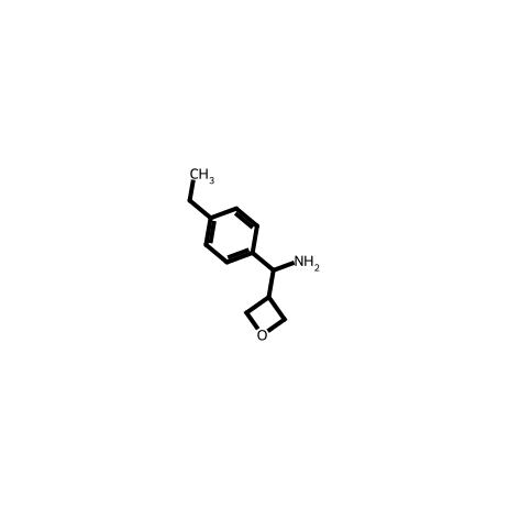 CCc1ccc(C(N)C2COC2)cc1